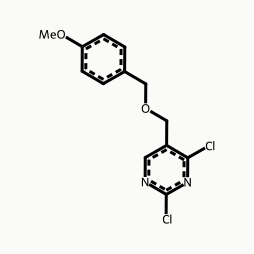 COc1ccc(COCc2cnc(Cl)nc2Cl)cc1